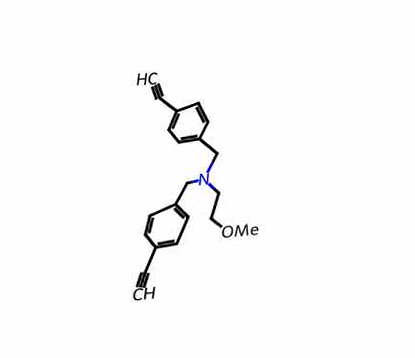 C#Cc1ccc(CN(CCOC)Cc2ccc(C#C)cc2)cc1